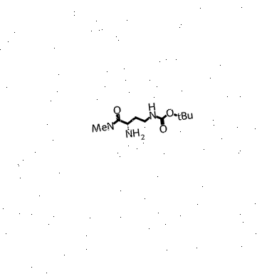 CNC(=O)[C@@H](N)CCNC(=O)OC(C)(C)C